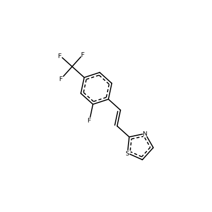 Fc1cc(C(F)(F)F)ccc1C=Cc1nccs1